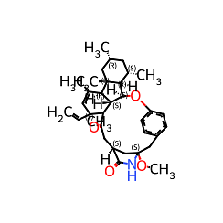 C=C[C@@]1(C)C=C(C)[C@@H]2[C@H]3C1C(=O)C[C@@H]1C[C@](OC)(Cc4ccc(cc4)O[C@@H]3[C@@H]3[C@@H](C)C[C@@H](C)C[C@]32C)NC1=O